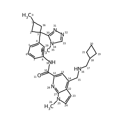 CC1CC(c2cccc(NC(=O)c3cc(CNCC4CCC4)c4ccn(C)c4n3)c2)(c2nncn2C)C1